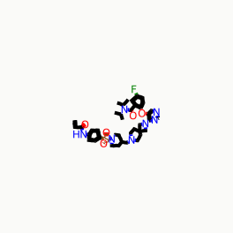 C=CC(=O)Nc1ccc(S(=O)(=O)N2CCC(CN3CCC4(CC3)CN(c3ncncc3Oc3ccc(F)cc3C(=O)N(C(C)C)C(C)C)C4)CC2)cc1